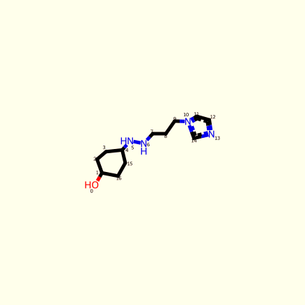 OC1CCC(NNCCCn2ccnc2)CC1